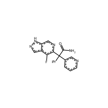 CC(C)C(C(N)=O)(c1cccnc1)c1ncc2[nH]ncc2c1F